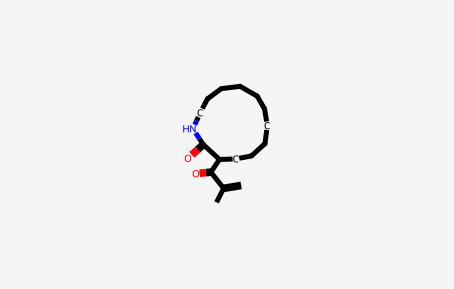 C=C(C)C(=O)C1CCCCCCCCCCNC1=O